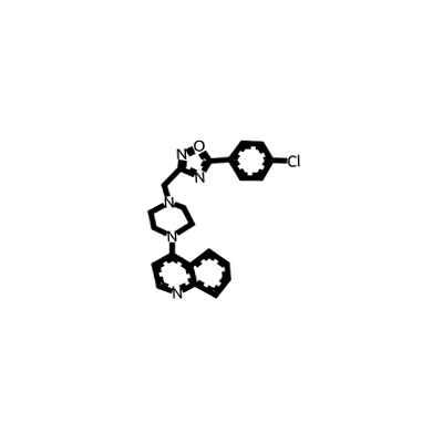 Clc1ccc(-c2nc(CN3CCN(c4ccnc5ccccc45)CC3)no2)cc1